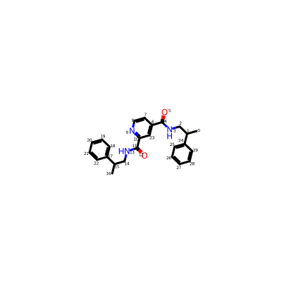 CC(CNC(=O)c1ccnc(C(=O)NCC(C)c2ccccc2)c1)c1ccccc1